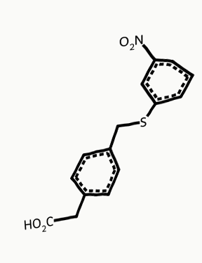 O=C(O)Cc1ccc(CSc2cccc([N+](=O)[O-])c2)cc1